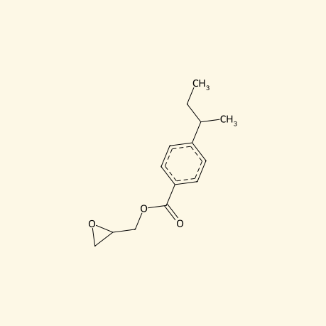 CCC(C)c1ccc(C(=O)OCC2CO2)cc1